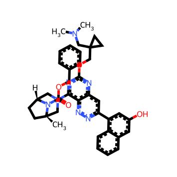 CN(C)CC1(COc2nc(N3C[C@H]4CC[C@@](C)(C3)N4C(=O)OCc3ccccc3)c3nnc(-c4cc(O)cc5ccccc45)cc3n2)CC1